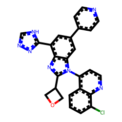 Clc1cccc2c(-n3c(C4COC4)nc4c(-c5nnc[nH]5)cc(-c5ccncc5)cc43)ccnc12